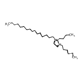 CCCCCCCCCCCCCCCCn1cc[n+](CCCCCC)c1CCCC